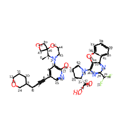 C[C@@H]1N(c2cc(C#CCC3CCCOC3)cnc2O[C@H]2C[C@@H](C(=O)O)N(c3nc(C(F)F)nc4c3oc3ccccc34)C2)CCOC12COC2